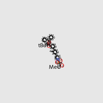 COC(=O)C(C)(C)S(=O)(=O)N1CC=C(c2ccc(-c3cccc(OC(CC(C)(C)C)O[SiH](c4ccccc4)c4ccccc4)c3)c(C)c2)CC1